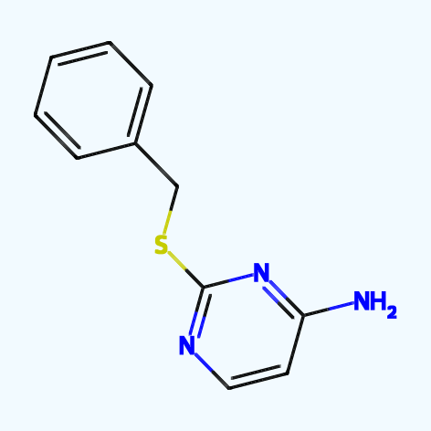 Nc1ccnc(SCc2ccccc2)n1